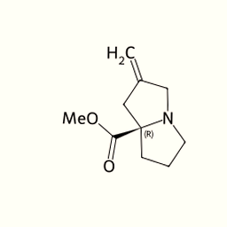 C=C1CN2CCC[C@]2(C(=O)OC)C1